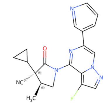 C[C@@H]1CN(c2nc(-c3cccnc3)cn3ncc(F)c23)C(=O)[C@]1(C#N)C1CC1